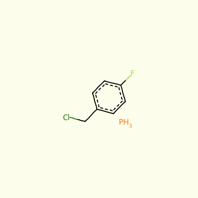 Fc1ccc(CCl)cc1.P